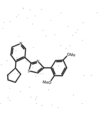 COc1ccc(OC)c(-c2csc(-c3cnccc3C3CCCC3)n2)c1